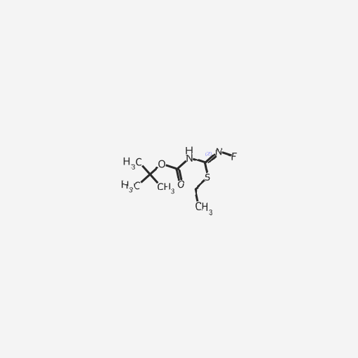 CCS/C(=N\F)NC(=O)OC(C)(C)C